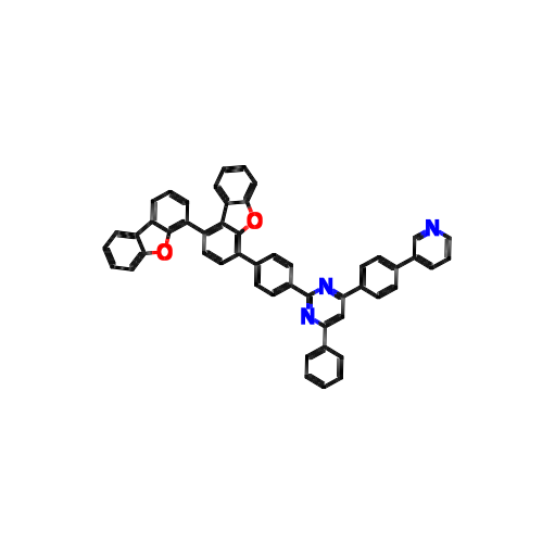 c1ccc(-c2cc(-c3ccc(-c4cccnc4)cc3)nc(-c3ccc(-c4ccc(-c5cccc6c5oc5ccccc56)c5c4oc4ccccc45)cc3)n2)cc1